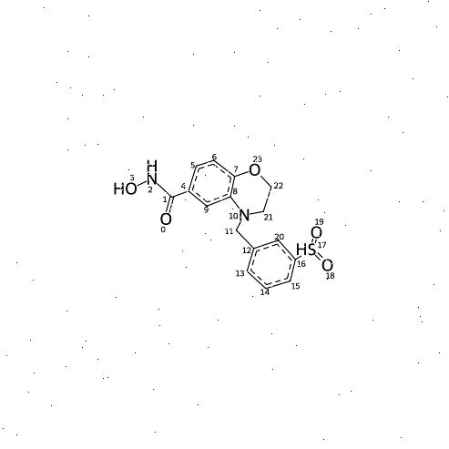 O=C(NO)c1ccc2c(c1)N(Cc1cccc([SH](=O)=O)c1)CCO2